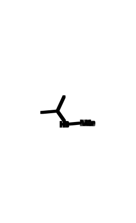 CNBC(C)C